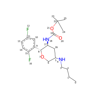 CCCCNC1CO[C@H](c2cc(F)ccc2F)[C@@H](NC(=O)OC(C)(C)C)C1